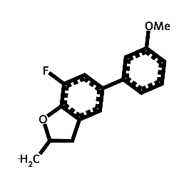 [CH2]C1Cc2cc(-c3cccc(OC)c3)cc(F)c2O1